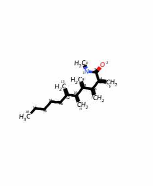 C=NC(=O)C(=C)C(=C)C(=C)C(=C)C(=C)CCCCC